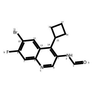 O=CNc1cnc2cc(F)c(Br)cc2c1C1CCC1